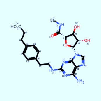 CCNC(=O)[C@H]1O[C@@H](n2cnc3c(N)nc(NCCc4ccc(CCC(=O)O)cc4)nc32)[C@@H](O)C1O